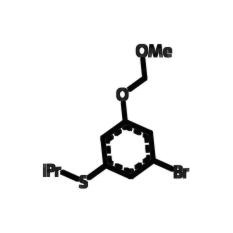 COCOc1cc(Br)cc(SC(C)C)c1